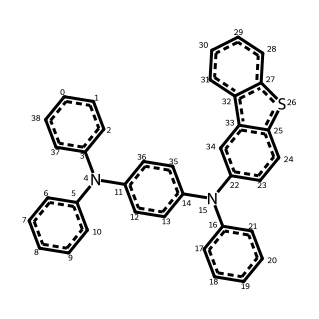 c1ccc(N(c2ccccc2)c2ccc(N(c3ccccc3)c3ccc4sc5ccccc5c4c3)cc2)cc1